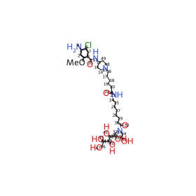 COc1cc(N)c(Cl)cc1C(=O)NC1CCN(CCCCCC(=O)NCCCCCCCC(=O)N(CCO)C[C@H](O)[C@@H](O)[C@H](O)[C@H](O)CO)CC1